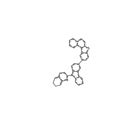 C1=c2ccc(-n3c4ccccc4c4cc(-c5ccc6sc7ccc8ccccc8c7c6c5)ccc43)nc2=CCC1